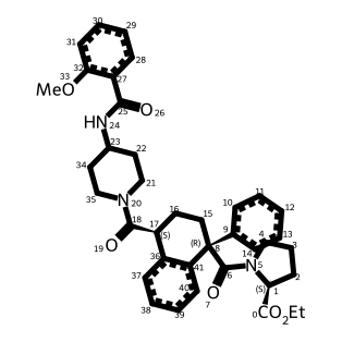 CCOC(=O)[C@@H]1CCCN1C(=O)[C@@]1(c2ccccc2)CC[C@H](C(=O)N2CCC(NC(=O)c3ccccc3OC)CC2)c2ccccc21